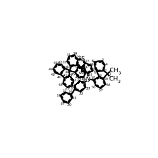 CC1(C)c2ccccc2-c2c(N(c3ccc(-c4ccccc4)cc3)c3ccc4sc5cccc(C6(c7ccccc7)c7ccccc7-c7ccccc76)c5c4c3)cccc21